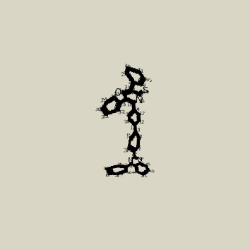 c1ccc(-c2nc(-c3ccc(-c4ccc(-c5nc6sc7ccccc7c6c6oc7ccccc7c56)cc4)cc3)nc3ccccc23)cc1